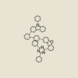 c1ccc(-c2nc(-c3ccccc3)nc(-c3cccc4oc5ccc(-c6ccc(-c7ccccc7-c7ccc8c(c7)c7ccccc7n8-c7ccccc7)cc6)cc5c34)n2)cc1